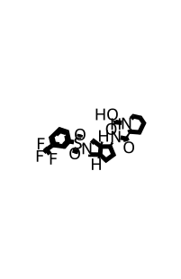 O=C(N[C@H]1CC[C@@H]2CN(S(=O)(=O)c3cccc(C(F)(F)F)c3)C[C@@H]21)[C@@H]1CCCCN1C(=O)O